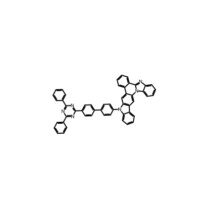 c1ccc(-c2nc(-c3ccccc3)nc(-c3ccc(-c4ccc(-n5c6ccccc6c6cc7c(cc65)c5ccccc5c5nc6ccccc6n75)cc4)cc3)n2)cc1